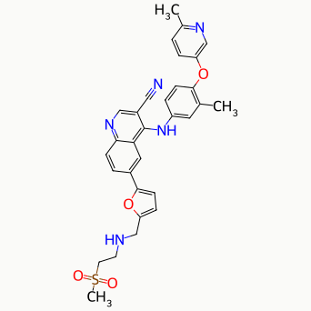 Cc1ccc(Oc2ccc(Nc3c(C#N)cnc4ccc(-c5ccc(CNCCS(C)(=O)=O)o5)cc34)cc2C)cn1